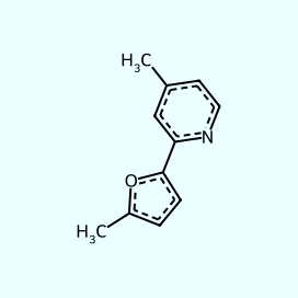 Cc1ccnc(-c2ccc(C)o2)c1